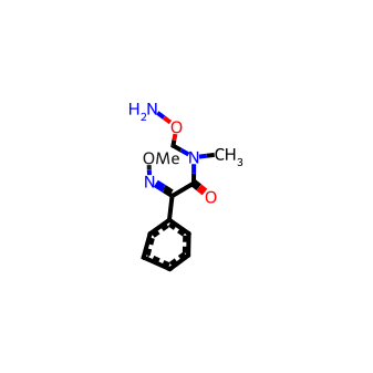 CON=C(C(=O)N(C)CON)c1ccccc1